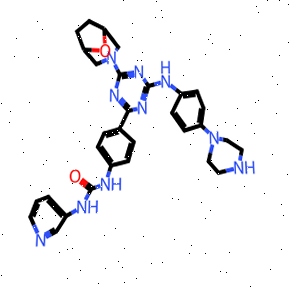 O=C(Nc1ccc(-c2nc(Nc3ccc(N4CCNCC4)cc3)nc(N3CC4CCC(C3)O4)n2)cc1)Nc1cccnc1